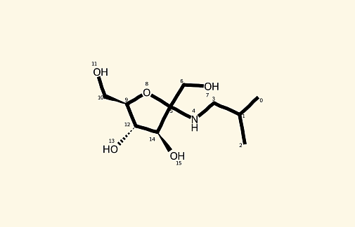 CC(C)CNC1(CO)O[C@H](CO)[C@@H](O)[C@@H]1O